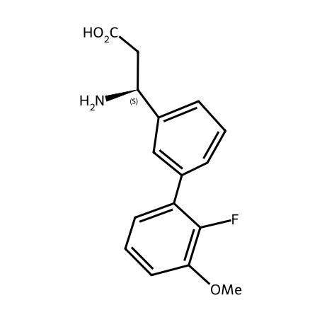 COc1cccc(-c2cccc([C@@H](N)CC(=O)O)c2)c1F